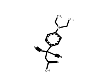 CCN(CC)c1ccc(C(C#N)(C#N)CC(=O)O)cc1